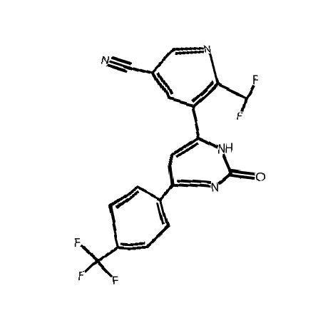 N#Cc1cnc(C(F)F)c(-c2cc(-c3ccc(C(F)(F)F)cc3)nc(=O)[nH]2)c1